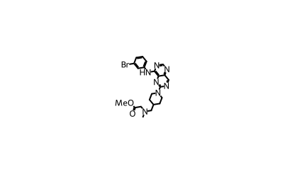 COC(=O)CN(C)CC1CCN(c2ncc3ncnc(Nc4cccc(Br)c4)c3n2)CC1